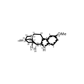 COc1ccc2[nH]c3c(c2c1)CCN1C[C@H]2C[C@@H]3[C@@H]1C2